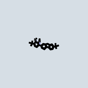 C/N=C1/C(c2ccc3c(c2)Cc2cc(C(C)(C)C)ccc2-3)=CC=C(C(C)(C)C)/C1=N/C